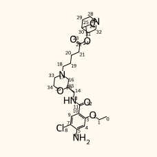 CCOc1cc(N)c(Cl)cc1C(=O)NC[C@@H]1CN(CCCCC(=O)OC2CN3CCC2CC3)CCO1